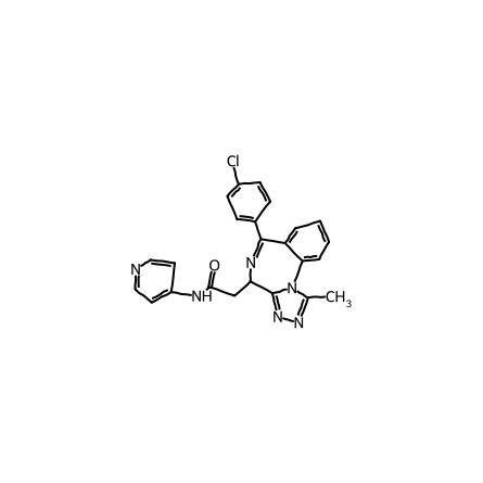 Cc1nnc2n1-c1ccccc1C(c1ccc(Cl)cc1)=NC2CC(=O)Nc1ccncc1